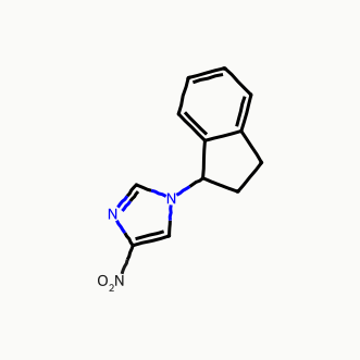 O=[N+]([O-])c1cn(C2CCc3ccccc32)cn1